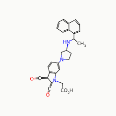 CC(N[C@H]1CCN(c2ccc3c(=C=O)c(=C=O)n(CC(=O)O)c3c2)C1)c1cccc2ccccc12